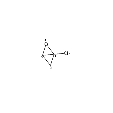 ClC12CC1O2